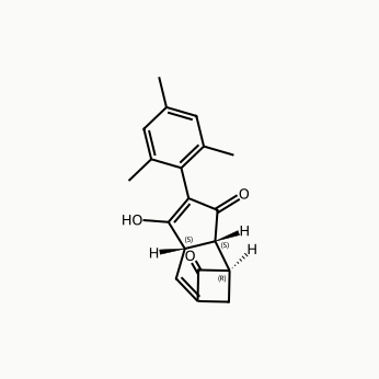 Cc1cc(C)c(C2=C(O)[C@H]3C=C4C[C@@H](C4=O)[C@H]3C2=O)c(C)c1